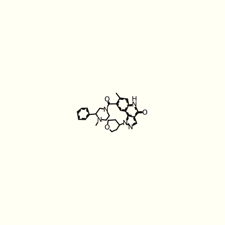 Cc1cc2[nH]c(=O)c3cnn(C4CCOCC4)c3c2cc1C(=O)N1CCN(C)C(c2ccccc2)C1